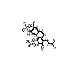 COc1cc(/C=C\c2cc(OS(C)(=O)=O)cc(OC)c2CC=C(C)C)ccc1NS(C)(=O)=O